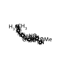 COc1ncccc1-c1ccc(O)c(-c2nc3cc(C(=O)NC4CCN(Cc5ccc(N(C)C)cc5)CC4)ccc3[nH]2)c1